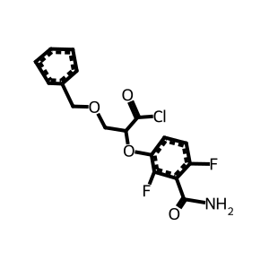 NC(=O)c1c(F)ccc(OC(COCc2ccccc2)C(=O)Cl)c1F